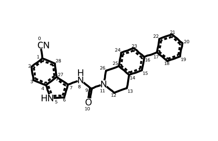 N#Cc1ccc2[nH]cc(NC(=O)N3CCc4cc(-c5ccccc5)ccc4C3)c2c1